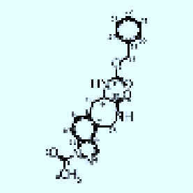 CC(=O)n1ncc2c3c(ccc21)C[C@@H](NC(=O)OCc1ccccc1)C(=O)NC3